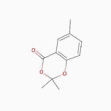 Cc1ccc2c(c1)C(=O)OC(C)(C)O2